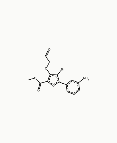 COC(=O)c1sc(-c2cccc(N)c2)c(Br)c1OCC=O